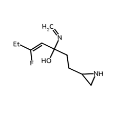 C=NC(O)(/C=C(\F)CC)CCC1CN1